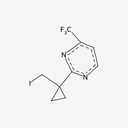 FC(F)(F)c1ccnc(C2(CI)CC2)n1